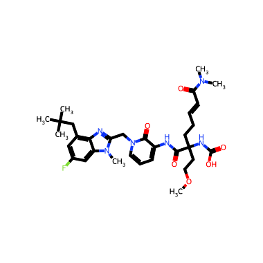 COCCC(CC/C=C/C(=O)N(C)C)(NC(=O)O)C(=O)Nc1cccn(Cc2nc3c(CC(C)(C)C)cc(F)cc3n2C)c1=O